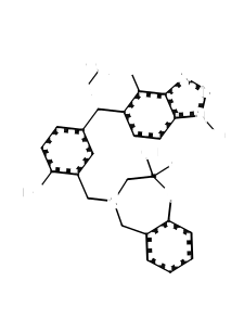 CCn1nnc2c(F)c([C@@H](CC(=O)O)c3ccc(C)c(CN4Cc5ccccc5OC(C)(C)C4)c3)ccc21